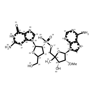 CO[C@H]1[C@H](n2cnc3c(N)ncnc32)OC(C)(COP(=O)(S)[C@@H]2CC(CO)O[C@H]2n2cnc3c(=O)[nH]c(N)nc32)[C@H]1O